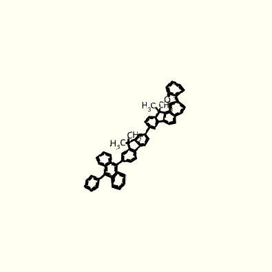 CC1(C)c2cc(-c3ccc4c(c3)-c3ccc5ccc6c7ccccc7oc6c5c3C4(C)C)ccc2-c2ccc(-c3c4ccccc4c(-c4ccccc4)c4ccccc34)cc21